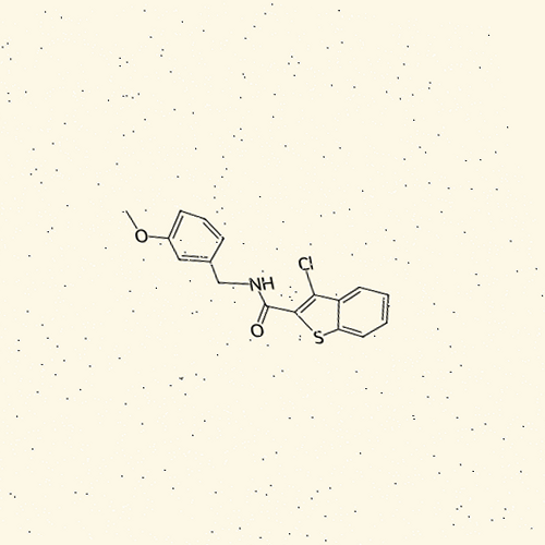 COc1cccc(CNC(=O)c2sc3ccccc3c2Cl)c1